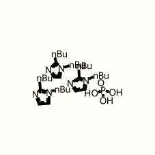 CCCCc1nccn1CCCC.CCCCc1nccn1CCCC.CCCCc1nccn1CCCC.O=P(O)(O)O